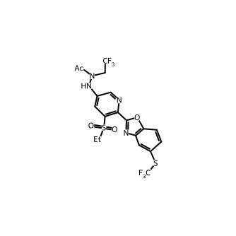 CCS(=O)(=O)c1cc(NN(CC(F)(F)F)C(C)=O)cnc1-c1nc2cc(SC(F)(F)F)ccc2o1